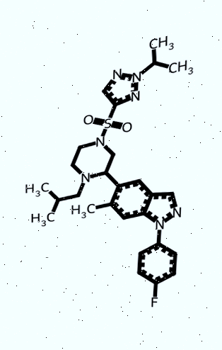 Cc1cc2c(cnn2-c2ccc(F)cc2)cc1C1CN(S(=O)(=O)c2cnn(C(C)C)n2)CCN1CC(C)C